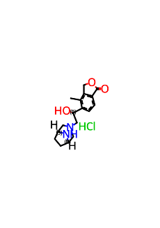 Cc1c([C@@H](O)CN2C[C@H]3CC[C@@H](C2)N3)ccc2c1COC2=O.Cl